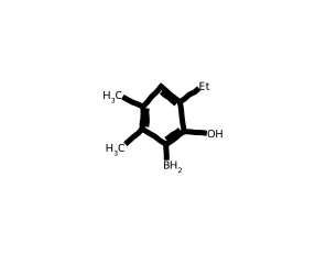 Bc1c(C)c(C)cc(CC)c1O